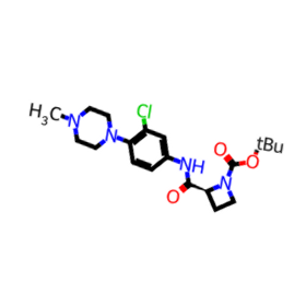 CN1CCN(c2ccc(NC(=O)[C@@H]3CCN3C(=O)OC(C)(C)C)cc2Cl)CC1